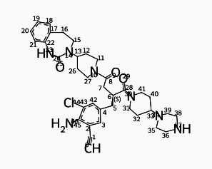 C#Cc1cc(C[C@@H](CC(=O)N2CCC(N3CCc4ccccc4NC3=O)CC2)C(=O)N2CCC(N3CCNCC3)CC2)cc(Cl)c1N